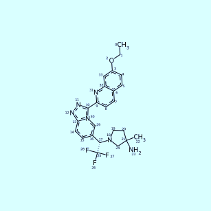 CCOc1ccc2ccc(-c3nnc4ccc([C@H](N5CCC(C)(N)C5)C(F)(F)F)cn34)nc2c1